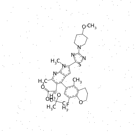 COC1CCN(c2nsc(-c3cc4c(-c5cc(F)c6c(c5C)CCCO6)c([C@H](OC(C)(C)C)C(=O)O)c(C)nc4n3C)n2)CC1